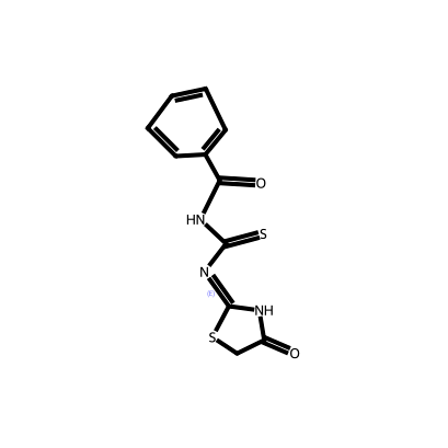 O=C1CS/C(=N/C(=S)NC(=O)c2ccccc2)N1